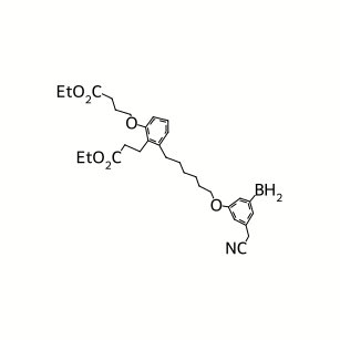 Bc1cc(CC#N)cc(OCCCCCCc2cccc(OCCCC(=O)OCC)c2CCC(=O)OCC)c1